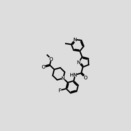 COC(=O)C1CCN(c2c(F)cccc2NC(=O)C2=NC(c3ccnc(C)c3)=CC2)CC1